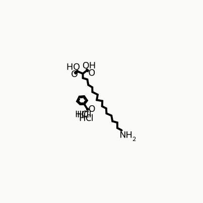 Cl.Cl.NCCCCCCCCCCCCCCCCC(C(=O)O)C(=O)O.O=C(O)c1ccccc1